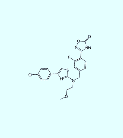 COCCN(Cc1ccc(-c2noc(=O)[nH]2)c(F)c1)c1nc(-c2ccc(Cl)cc2)cs1